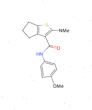 CNc1sc2c(c1C(=O)Nc1ccc(OC)cc1)CCC2